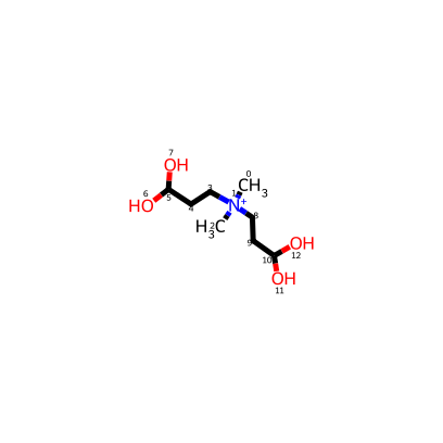 C[N+](C)(CCC(O)O)CCC(O)O